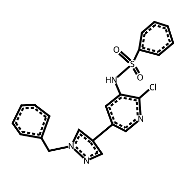 O=S(=O)(Nc1cc(-c2cnn(Cc3ccccc3)c2)cnc1Cl)c1ccccc1